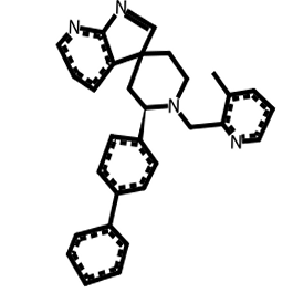 Cc1cccnc1CN1CCC2(C=Nc3ncccc32)C[C@@H]1c1ccc(-c2ccccc2)cc1